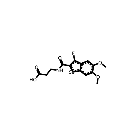 COc1cc2[se]c(C(=O)NCCC(=O)O)c(F)c2cc1OC